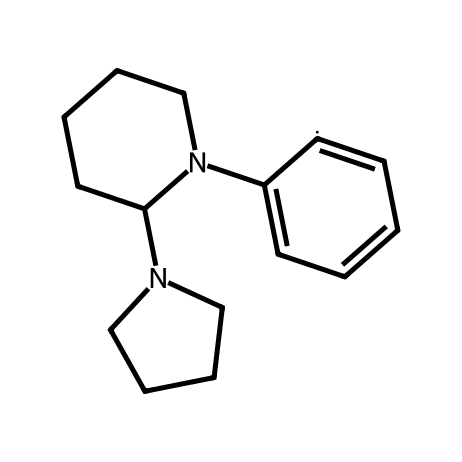 [c]1ccccc1N1CCCCC1N1CCCC1